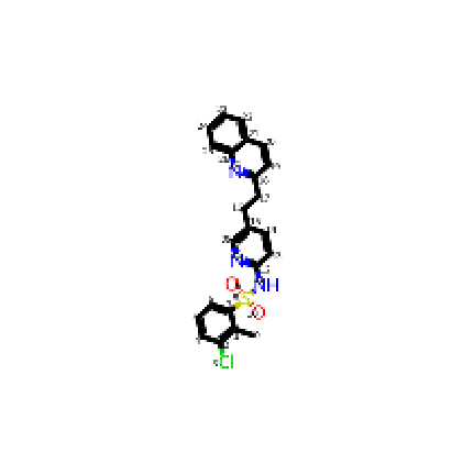 Cc1c(Cl)cccc1S(=O)(=O)Nc1ccc(CCc2ccc3ccccc3n2)cn1